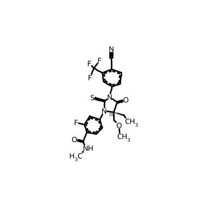 CC[C@]1(COC)C(=O)N(c2ccc(C#N)c(C(F)(F)F)c2)C(=S)N1c1ccc(C(=O)NC)c(F)c1